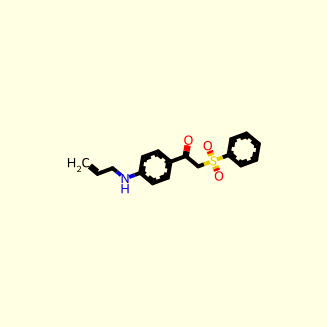 C=CCNc1ccc(C(=O)CS(=O)(=O)c2ccccc2)cc1